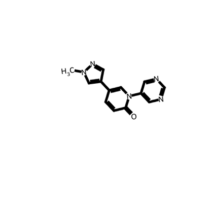 Cn1cc(-c2ccc(=O)n(-c3cncnc3)c2)cn1